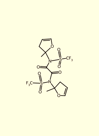 CC1(N(C(=O)C(=O)N(C2(C)CC=CO2)S(=O)(=O)C(F)(F)F)S(=O)(=O)C(F)(F)F)CC=CO1